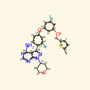 Cc1ccc(COc2cc(F)cc(Oc3ccc(-c4nn(C5CCOCC5)c5ncnc(N)c45)c(F)c3)c2)s1